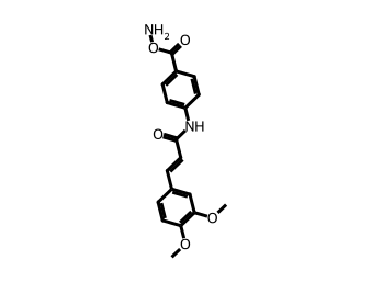 COc1ccc(/C=C/C(=O)Nc2ccc(C(=O)ON)cc2)cc1OC